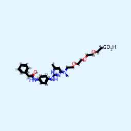 Cc1cc(N(C)CCOCCOCCOCCC(=O)O)nc(Nc2ccc(NC(=O)Cc3ccccc3)cc2)n1